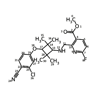 COC(=O)c1ccc(F)nc1CNC1C(C)(C)C(Oc2ccc(C#N)c(Cl)c2)C1(C)C